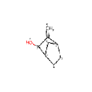 C=C1C2CCC(C2)C1O